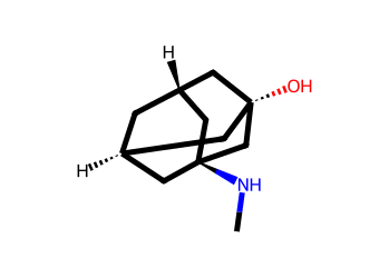 CN[C@@]12C[C@@H]3C[C@@H](C[C@@](O)(C3)C1)C2